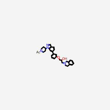 CC(=O)N1CCC(n2ncc3ccc(-c4cccc(OCC(O)CN5CCc6ccccc6C5)c4)cc32)CC1